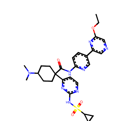 CCOc1cncc(-c2ccc(NC(=O)C3(c4ccnc(NS(=O)(=O)C5CC5)n4)CCC(N(C)C)CC3)nc2)n1